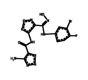 Nc1nnsc1C(=O)Nc1nonc1C(=NO)Nc1ccc(F)c(Br)c1